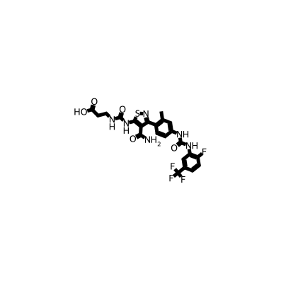 Cc1cc(NC(=O)Nc2cc(C(F)(F)F)ccc2F)ccc1-c1nsc(NC(=O)NCCC(=O)O)c1C(N)=O